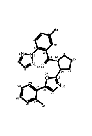 Cc1ccc(-n2nccn2)c(C(=O)N2CCCC2c2ncc(-c3ccccc3C)o2)c1